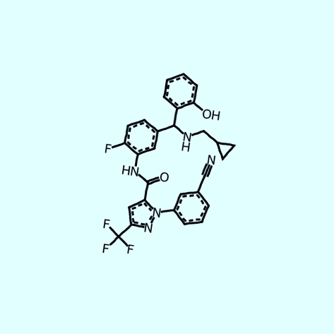 N#Cc1cccc(-n2nc(C(F)(F)F)cc2C(=O)Nc2cc(C(NCC3CC3)c3ccccc3O)ccc2F)c1